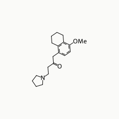 COc1ccc(CC(=O)CCN2CCCC2)c2c1CCCC2